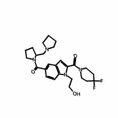 O=C(c1cc2cc(C(=O)N3CCCC3CN3CCCC3)ccc2n1CCO)N1CCC(F)(F)CC1